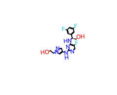 OCCn1cc(Nc2ncc(F)c(N[C@H](CO)c3cc(F)cc(F)c3)n2)cn1